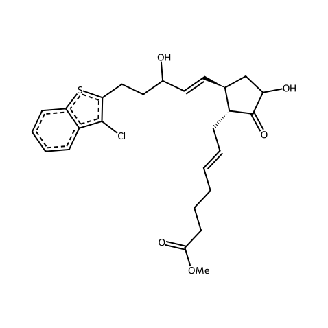 COC(=O)CCCC=CC[C@H]1C(=O)C(O)C[C@@H]1C=CC(O)CCc1sc2ccccc2c1Cl